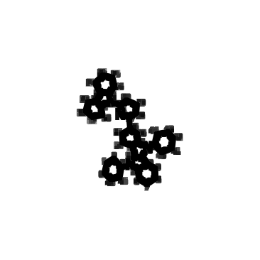 c1ccc(-n2c3ccccc3c3c2c2ccc(-c4cccc(-n5c6ccccc6c6ccccc65)n4)cc2n3-c2ccccc2)cc1